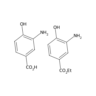 CCOC(=O)c1ccc(O)c(N)c1.Nc1cc(C(=O)O)ccc1O